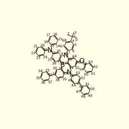 CC(C)(C)c1ccc(N2c3cc(N(c4ccccc4)c4ccccc4)ccc3B3c4cc(-c5ccccc5)ccc4N(c4ccc(-c5ccccc5)cc4)c4cc(Oc5ccccc5)cc2c43)cc1